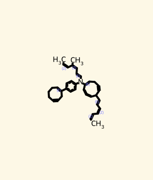 C\C=C/C=C\C=C\C1C#CC/C=C(/N(/C=C/C=C(C)\C=C/C)c2ccc(/C3=C/CCCC#CC3)cc2)C=C=C1